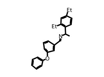 CCc1ccc(C(C)/N=C/c2cccc(Oc3ccccc3)c2)c(CC)c1